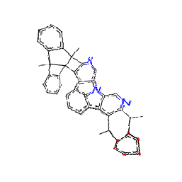 CC12c3ccccc3C(C)(c3ccccc31)c1c2ncc2c1c1cccc3c4c5c(ncc4n2c13)C1(C)c2ccccc2C2(C)c3ccccc3C521